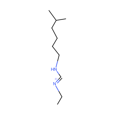 CC/N=C/NCCCCC(C)C